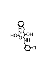 O=C(O)N[C@@H](Cc1ccccc1)[C@@H](O)CNCc1cccc(Cl)c1